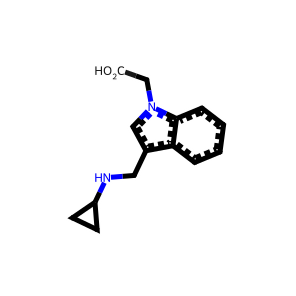 O=C(O)Cn1cc(CNC2CC2)c2ccccc21